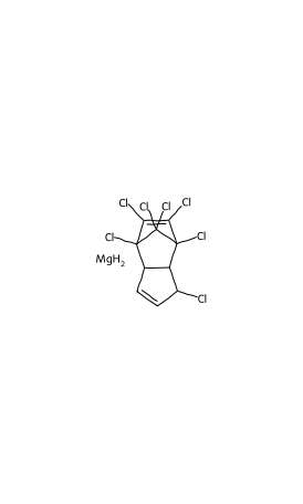 ClC1=C(Cl)C2(Cl)C3C(Cl)C=CC3C1(Cl)C2(Cl)Cl.[MgH2]